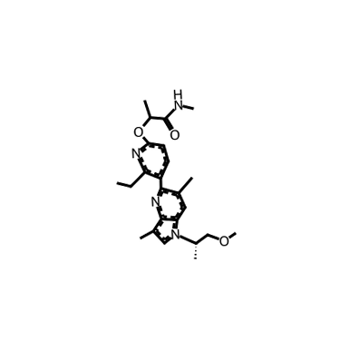 CCc1nc(OC(C)C(=O)NC)ccc1-c1nc2c(C)cn([C@@H](C)COC)c2cc1C